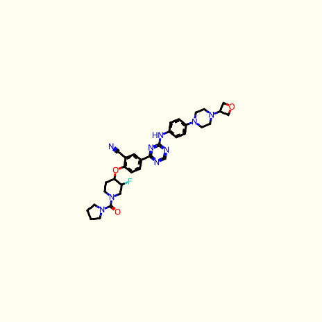 N#Cc1cc(-c2ncnc(Nc3ccc(N4CCN(C5COC5)CC4)cc3)n2)ccc1OC1CCN(C(=O)N2CCCC2)CC1F